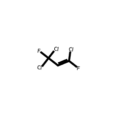 F/C(Cl)=C/C(F)(Cl)Cl